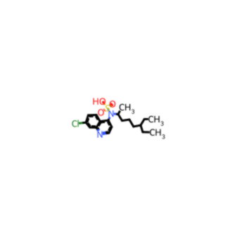 CCC(CC)CCCC(C)N(c1ccnc2cc(Cl)ccc12)S(=O)(=O)O